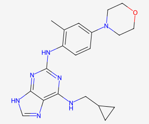 Cc1cc(N2CCOCC2)ccc1Nc1nc(NCC2CC2)c2nc[nH]c2n1